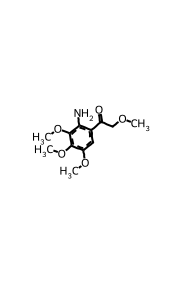 COCC(=O)c1cc(OC)c(OC)c(OC)c1N